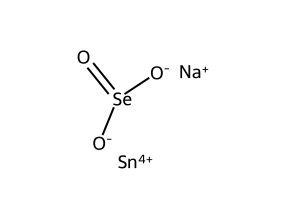 O=[Se]([O-])[O-].[Na+].[Sn+4]